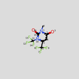 Cn1c(=O)cc(C(F)(F)F)n(C(F)(F)F)c1=O